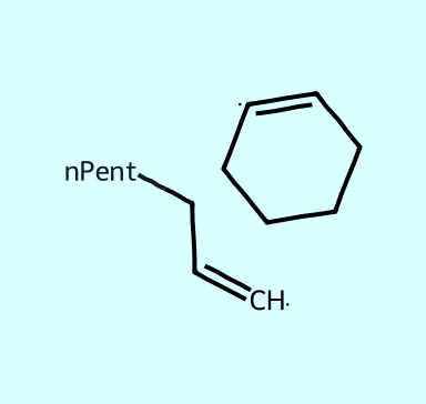 [CH]=CCCCCCC.[C]1=CCCCC1